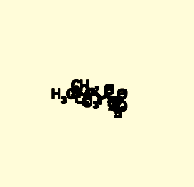 CC(C)(C)OC(=O)CCC(=O)N1CCOC1=O